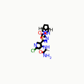 CC(=O)NC1[C@@H]2CC[C@H]1CN(c1nnc(-c3cnc(Cl)cc3N[C@H](C)C(N)=O)s1)C2